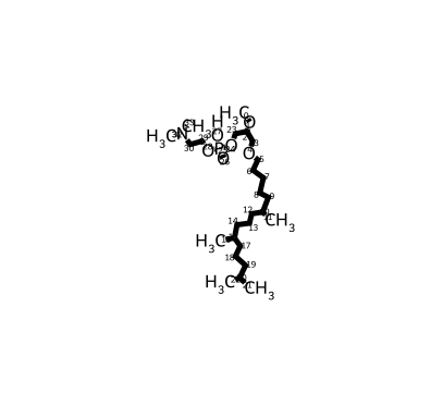 COC(COCCCCCC(C)CCCC(C)CCCC(C)C)COP(=O)(O)OCCN(C)C